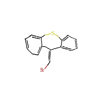 BrC=C1c2ccccc2Sc2ccccc21